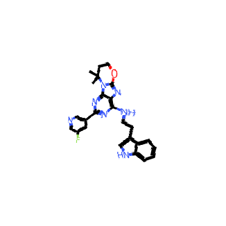 CC1(C)CCOc2nc3c(NCCc4c[nH]c5ccccc45)nc(-c4cncc(F)c4)nc3n21